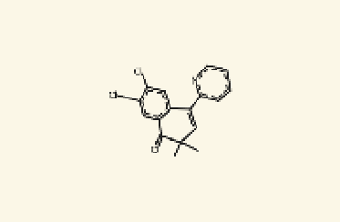 CC1(C)C=C(c2ccccn2)c2cc(Cl)c(Cl)cc2C1=O